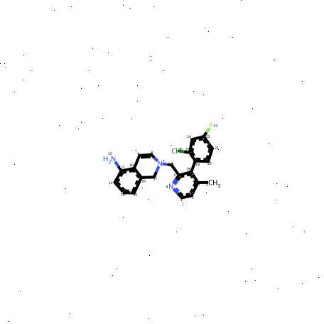 Cc1ccnc(CN2C=Cc3c(N)cccc3C2)c1-c1ccc(F)cc1Cl